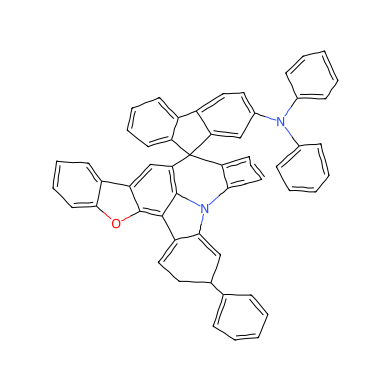 C1=c2c(n3c4c(cc5c6ccccc6oc5c24)C2(c4ccccc4-c4ccc(N(c5ccccc5)c5ccccc5)cc42)c2ccccc2-3)=CC(c2ccccc2)C1